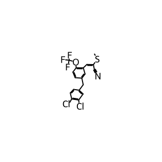 CS/C(C#N)=C/c1cc(Cc2ccc(Cl)c(Cl)c2)ccc1OC(F)(F)F